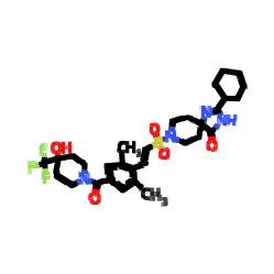 Cc1cc(C(=O)N2CCC(O)(C(F)(F)F)CC2)cc(C)c1C=CS(=O)(=O)N1CCC2(CC1)N=C(C1CCCCC1)NC2=O